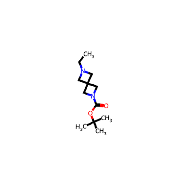 CCN1CC2(C1)CN(C(=O)OC(C)(C)C)C2